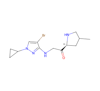 CC1CN[C@H](C(=O)CNc2nn(C3CC3)cc2Br)C1